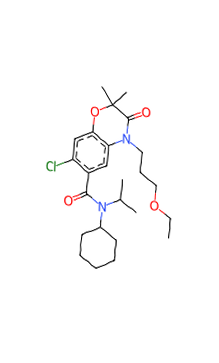 CCOCCCN1C(=O)C(C)(C)Oc2cc(Cl)c(C(=O)N(C(C)C)C3CCCCC3)cc21